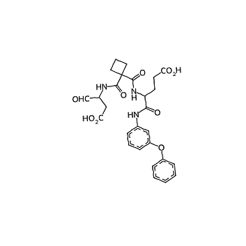 O=CC(CC(=O)O)NC(=O)C1(C(=O)NC(CCC(=O)O)C(=O)Nc2cccc(Oc3ccccc3)c2)CCC1